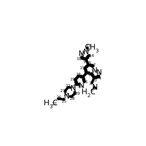 C=NCc1cnn2cc(-c3cnn(C)c3)cc(-c3ccc(N4CCN(CCC)CC4)nc3)c12